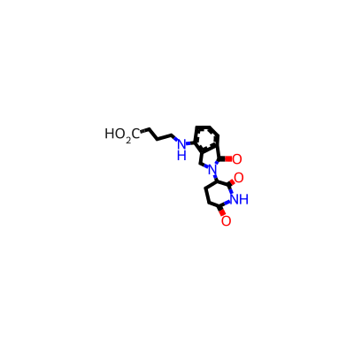 O=C(O)CCCNc1cccc2c1CN(C1CCC(=O)NC1=O)C2=O